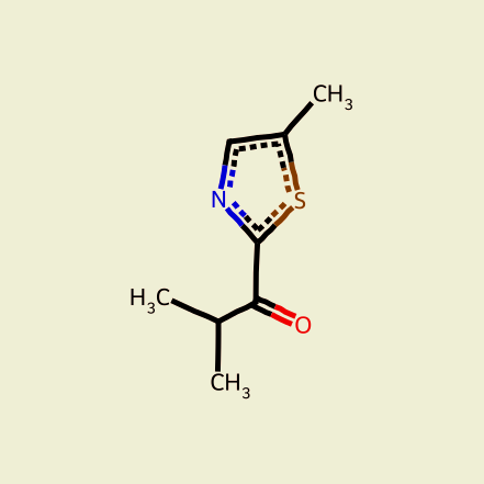 Cc1cnc(C(=O)C(C)C)s1